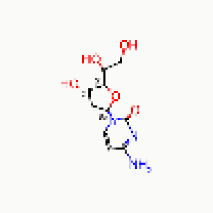 Nc1ccn([C@H]2C[C@H](O)[C@@H](C(O)CO)O2)c(=O)n1